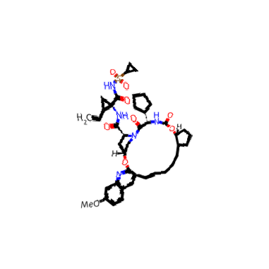 C=CC1C[C@]1(NC(=O)[C@@H]1C[C@@H]2CN1C(=O)[C@H](C1CCCC1)NC(=O)O[C@@H]1CCCC1CCC/C=C/c1cc3ccc(OC)cc3nc1O2)C(=O)NS(=O)(=O)C1CC1